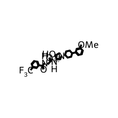 COc1cccc(C2CCC(N3C[C@H](NC(=O)CNC(=O)c4cccc(C(F)(F)F)c4)[C@@H](O)C3)CC2)c1